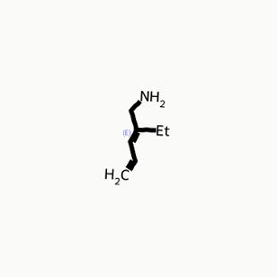 C=C/C=C(\CC)CN